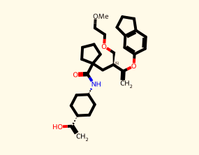 C=C(Oc1ccc2c(c1)CCC2)[C@H](COCCOC)CC1(C(=O)N[C@H]2CC[C@@H](C(=C)O)CC2)CCCC1